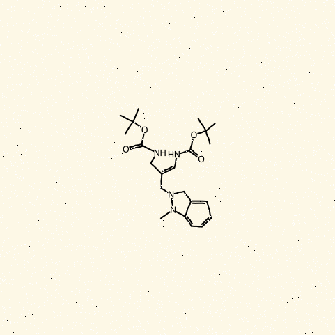 CN1c2ccccc2CN1CC(=CNC(=O)OC(C)(C)C)CNC(=O)OC(C)(C)C